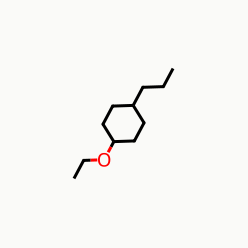 CCCC1CCC(OCC)CC1